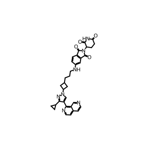 O=C1CCC(N2C(=O)c3ccc(NCCCC4CC(n5cc(-c6nccc7ccncc67)c(C6CC6)n5)C4)cc3C2=O)C(=O)N1